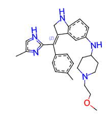 COCCN1CCC(Nc2ccc3c(c2)/C(=C(\c2ccc(C)cc2)c2nc(C)c[nH]2)CN3)CC1